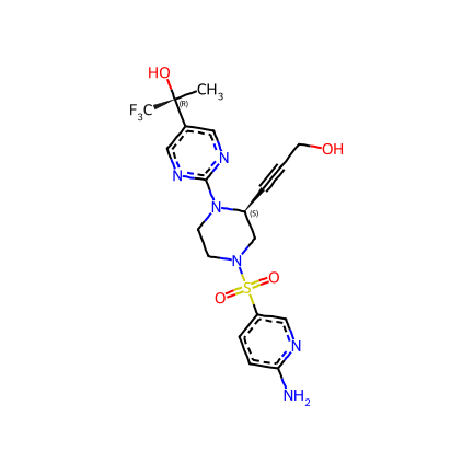 C[C@@](O)(c1cnc(N2CCN(S(=O)(=O)c3ccc(N)nc3)C[C@@H]2C#CCO)nc1)C(F)(F)F